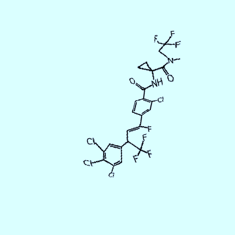 CN(CC(F)(F)F)C(=O)C1(NC(=O)c2ccc(C(F)=CC(c3cc(Cl)c(Cl)c(Cl)c3)C(F)(F)F)cc2Cl)CC1